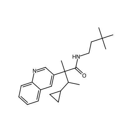 CC(C1CC1)C(C)(C(=O)NCCC(C)(C)C)c1cnc2ccccc2c1